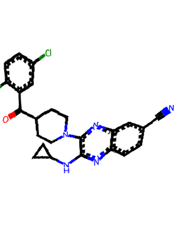 N#Cc1ccc2nc(NC3CC3)c(N3CCC(C(=O)c4cc(Cl)ccc4F)CC3)nc2c1